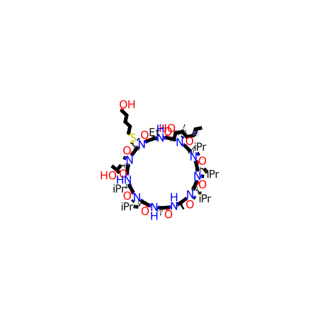 C/C=C/C[C@@H](C)[C@@H](O)[C@H]1C(=O)N[C@@H](CC)C(=O)N(C)[C@@H](CSCCCCCO)C(=O)N(C)[C@@H](CC(C)(C)O)C(=O)N[C@@H](C(C)C)C(=O)N(C)[C@@H](CC(C)C)C(=O)N[C@@H](C)C(=O)N[C@H](C)C(=O)N(C)[C@@H](CC(C)C)C(=O)N(C)[C@@H](CC(C)C)C(=O)N(C)[C@@H](C(C)C)C(=O)N1C